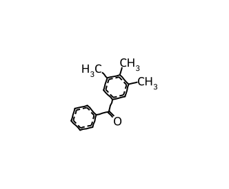 Cc1cc(C(=O)c2ccccc2)cc(C)c1C